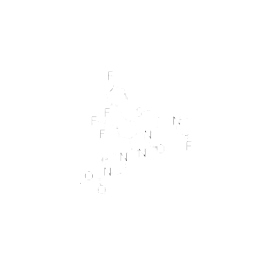 C[C@@H]1CN(c2nc(=O)n3c4c(c(-c5ccc(F)cc5)c(C(F)(F)F)cc24)SCC(CN2CC[C@H](F)C2)C3)C[C@H](C)N1C(=O)OC(C)(C)C